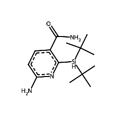 CC(C)(C)[SiH](c1nc(N)ccc1C(N)=O)C(C)(C)C